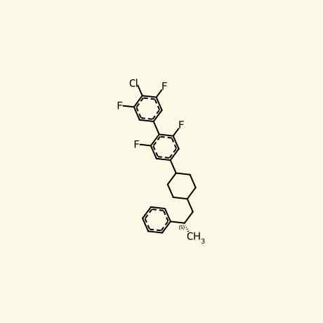 C[C@@H](CC1CCC(c2cc(F)c(-c3cc(F)c(Cl)c(F)c3)c(F)c2)CC1)c1ccccc1